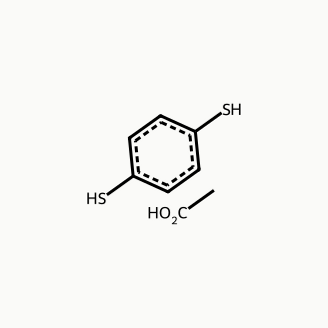 CC(=O)O.Sc1ccc(S)cc1